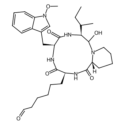 CCC(C)[C@@H]1NC(=O)[C@H](Cc2cn(OC)c3ccccc23)NC(=O)[C@H](CCCCCC=O)NC(=O)[C@H]2CCCCN2C1O